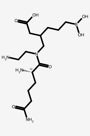 NCCN(CC(CCCB(O)O)CC(=O)O)C(=O)[C@@H](N)CCCC(N)=O